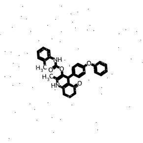 CC1=C(OC(=O)Nc2ccccc2C)C(c2ccc(Oc3ccccc3)cc2)C2=C(CCCC2=O)N1